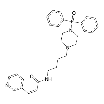 O=C(/C=C\c1cccnc1)NCCCCN1CCN(P(=O)(c2ccccc2)c2ccccc2)CC1